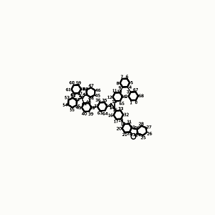 c1ccc(-c2ccccc2-c2ccc(N(c3ccc(-c4ccc5oc6ccccc6c5c4)cc3)c3ccc(-c4cccc5c4-c4ccccc4C5(c4ccccc4)c4ccccc4)cc3)cc2)cc1